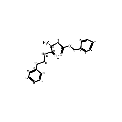 C[C@H](NC(=O)OCc1ccccc1)C(=O)NCCc1ccccc1